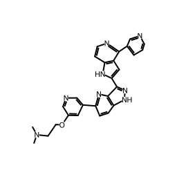 CN(C)CCOc1cncc(-c2ccc3[nH]nc(-c4cc5c(-c6cccnc6)nccc5[nH]4)c3n2)c1